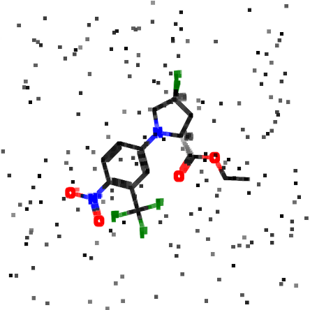 CCOC(=O)[C@H]1C[C@H](F)CN1c1ccc([N+](=O)[O-])c(C(F)(F)F)c1